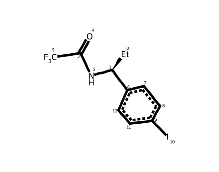 CC[C@H](NC(=O)C(F)(F)F)c1ccc(I)cc1